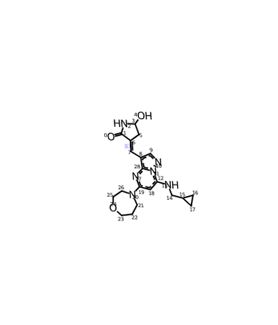 O=C1NC(O)C/C1=C\c1cnn2c(NCC3CC3)cc(N3CCCOCC3)nc12